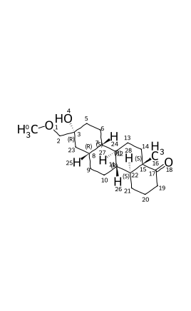 COC[C@@]1(O)CC[C@H]2[C@H](CC[C@@H]3[C@@H]2CC[C@]2(C)C(=O)CCC[C@@H]32)C1